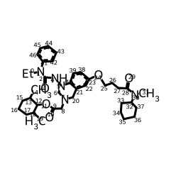 CCN(C(=O)NN1CN(CC(=O)OC2C(C)CCCC2C)Cc2cc(OCCCC(=O)N(C)C3CCCCC3)ccc21)c1ccccc1